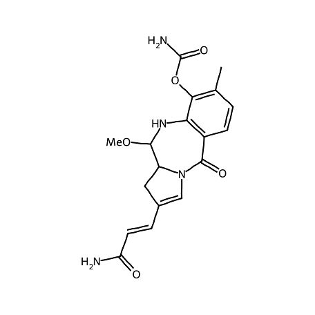 COC1Nc2c(ccc(C)c2OC(N)=O)C(=O)N2C=C(C=CC(N)=O)CC12